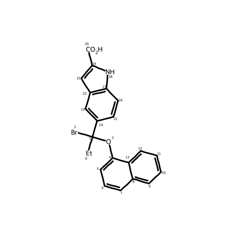 CCC(Br)(Oc1cccc2ccccc12)c1ccc2[nH]c(C(=O)O)cc2c1